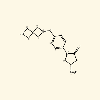 O=C(O)C1CC(=O)N(c2ccc(CN3CC4(COC4)C3)cc2)C1